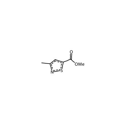 COC(=O)c1cc(C)ns1